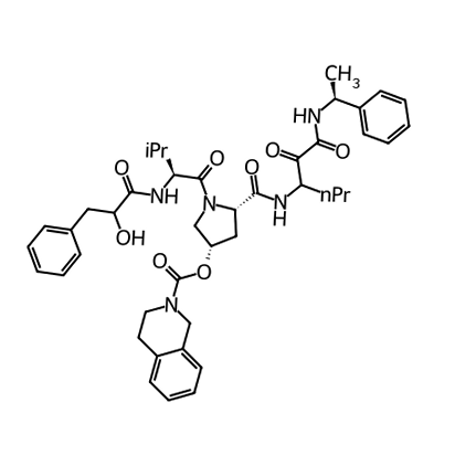 CCCC(NC(=O)[C@@H]1C[C@H](OC(=O)N2CCc3ccccc3C2)CN1C(=O)[C@@H](NC(=O)C(O)Cc1ccccc1)C(C)C)C(=O)C(=O)N[C@@H](C)c1ccccc1